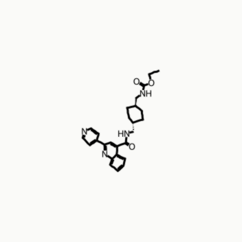 CCOC(=O)NC[C@H]1CC[C@H](CNC(=O)c2cc(-c3ccncc3)nc3ccccc23)CC1